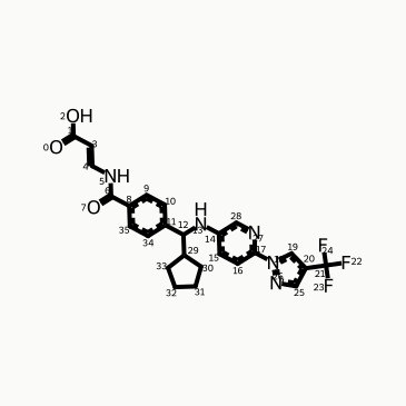 O=C(O)C=CNC(=O)c1ccc(C(Nc2ccc(-n3cc(C(F)(F)F)cn3)nc2)C2CCCC2)cc1